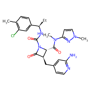 CC[C@@H](NC(=O)N1C(=O)[C@H](Cc2ccnc(N)c2)[C@H]1C(=O)N(C)c1ccn(C)n1)c1ccc(C)c(Cl)c1